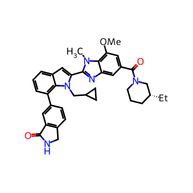 CC[C@@H]1CCCN(C(=O)c2cc(OC)c3c(c2)nc(-c2cc4cccc(-c5ccc6c(c5)C(=O)NC6)c4n2CC2CC2)n3C)C1